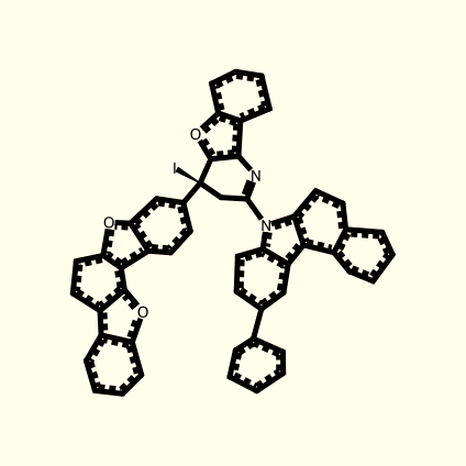 I[C@]1(c2ccc3c(c2)oc2ccc4c5ccccc5oc4c23)CC(n2c3ccc(-c4ccccc4)cc3c3c4ccccc4ccc32)=Nc2c1oc1ccccc21